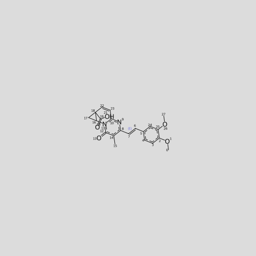 COc1ccc(/C=C/c2nc3n(c(=O)c2C)C2CC2(C(=O)O)C=C3)cc1OC